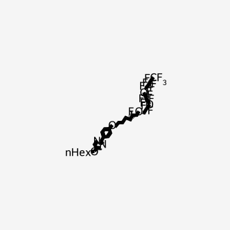 CCCCCCOc1cnc(-c2ccc(OCCCCC[C@@H](F)COCC(F)(F)OC(F)(F)C(F)(F)OC(F)(F)C(F)(F)C(F)(F)C(F)(F)F)cc2)nc1